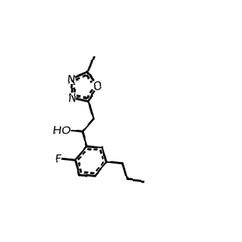 CCCc1ccc(F)c(C(O)Cc2nnc(C)o2)c1